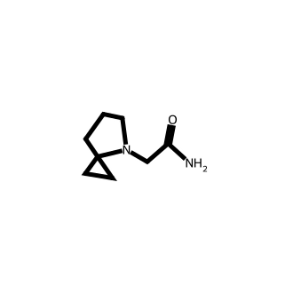 NC(=O)CN1CCCC12CC2